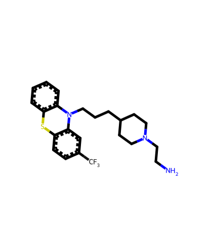 NCCN1CCC(CCCN2c3ccccc3Sc3ccc(C(F)(F)F)cc32)CC1